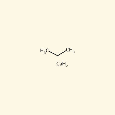 C[CH]C.[CaH2]